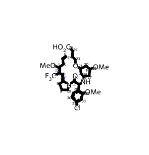 C=CC/C(OC)=C(\C=C1/CCCN1C(=O)C(N[C@H]1CC(OC)CC(OCCCC(=O)O)C1)c1ccc(Cl)cc1OC)C(F)(F)F